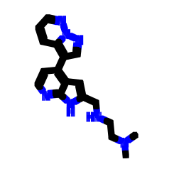 CN(C)CCNCc1cc2c(-c3cnn4ncccc34)ccnc2[nH]1